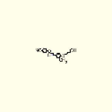 Cc1cc(/C=C/C(=O)Oc2ccc(C#N)cc2)ccc1OCCCCO